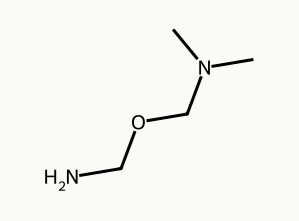 CN(C)COCN